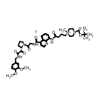 COc1ccc(CNC(=O)C(=O)[C@@H]2CCCN2C(=O)CNC(=O)c2ccnc3c(NC(=O)CCC[N+]4(C)CCN(C(=O)OC(C)(C)C)CC4)cccc23)cc1OC.[I-]